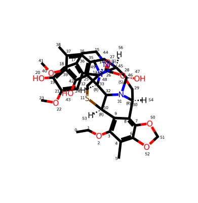 CCOc1c(C)c2c(c3c1[C@H]1SC[C@]4(NCCc5cc(O)c(OC)cc54)C(=O)OC[C@@H]3N3C1[C@H]1c4c(cc(C)c(OC)c4O)C[C@@H]([C@@H]3O)N1C)OCO2